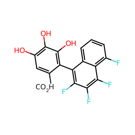 O=C(O)c1cc(O)c(O)c(O)c1-c1c(F)c(F)c(F)c2c(F)cccc12